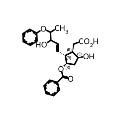 CC(Oc1ccccc1)C(O)C=C[C@@H]1[C@@H](CC(=O)O)[C@@H](O)C[C@H]1OC(=O)c1ccccc1